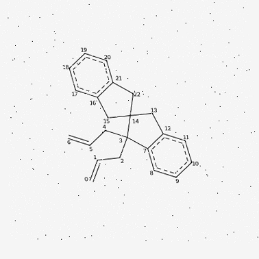 C=CCC1(CC=C)c2ccccc2CC12Cc1ccccc1C2